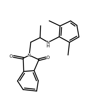 Cc1cccc(C)c1NC(C)CN1C(=O)c2ccccc2C1=O